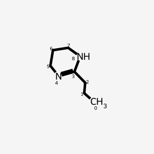 CCCC1=NCCCN1